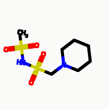 CS(=O)(=O)NS(=O)(=O)CN1CCCCC1